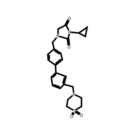 O=C1CN(Cc2ccc(-c3cccc(CN4CCS(=O)(=O)CC4)c3)cc2)C(=O)N1C1CC1